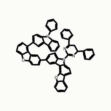 c1ccc(C2=NC(n3c4ccc(-c5ccc6oc7cccc(-c8ccc9c(c8)c8ccccc8n9-c8ccccc8)c7c6c5)cc4c4c5oc6ccccc6c5ccc43)=NC(c3ccccc3)C2)cc1